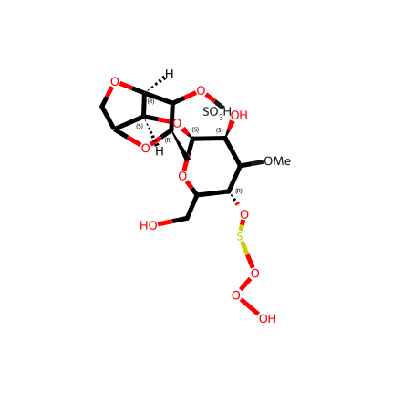 COC1[C@H](OSOOO)C(CO)O[C@@H](O[C@H]2C3CO[C@H]2C(OS(=O)(=O)O)[C@@H](C)O3)[C@H]1O